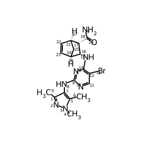 Cc1nn(C)c(C)c1Nc1ncc(Br)c(N[C@H]2[C@@H](C(N)=O)[C@@H]3C=C[C@H]2C3)n1